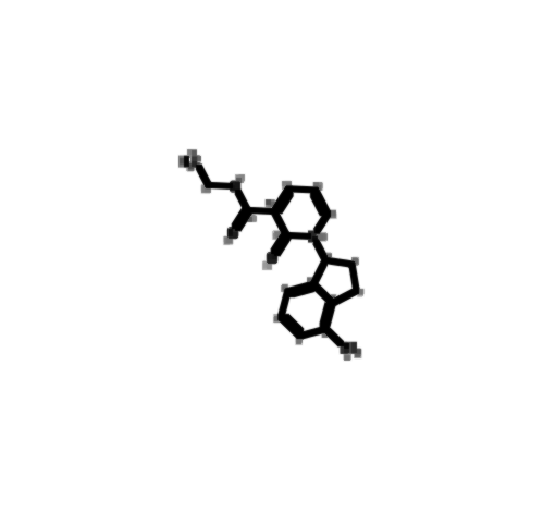 Bc1cccc2c1CCC2n1cccc(C(=O)OCC)c1=O